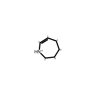 [CH]1CC=CNCC1